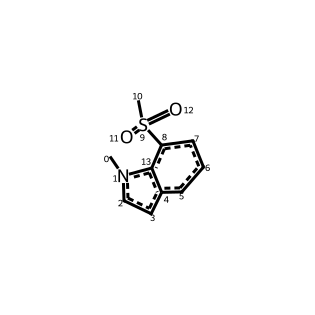 Cn1ccc2cccc(S(C)(=O)=O)c21